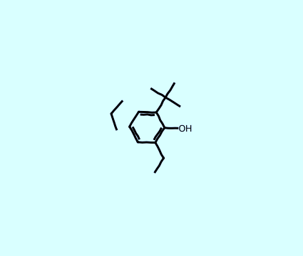 CCC.CCc1cccc(C(C)(C)C)c1O